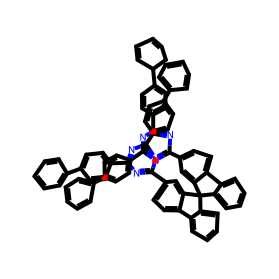 C1=CCC(c2ccc(-c3nc(-c4ccc(-c5ccccc5)cc4)nc(-c4ccc5c(c4)C4(c6ccccc6-c6ccc(-c7nc(-c8ccc(-c9ccccc9)cc8)nc(-c8ccc(-c9ccccc9)cc8)n7)cc64)c4ccccc4-5)n3)cc2)C=C1